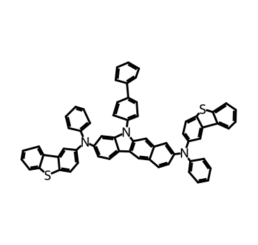 c1ccc(-c2ccc(-n3c4cc(N(c5ccccc5)c5ccc6sc7ccccc7c6c5)ccc4c4cc5ccc(N(c6ccccc6)c6ccc7sc8ccccc8c7c6)cc5cc43)cc2)cc1